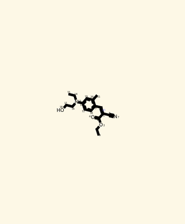 CCOC(=O)/C(C#N)=C\c1ccc(N(CC)CCO)cc1C